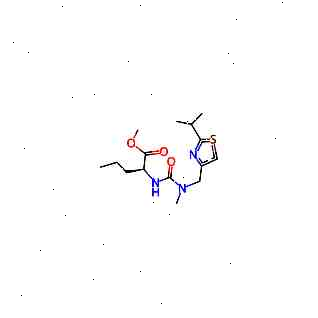 CCC[C@H](NC(=O)N(C)Cc1csc(C(C)C)n1)C(=O)OC